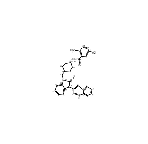 Cc1ncc(Cl)cc1C(=O)N[C@H]1CC[C@H](Cn2c(=O)n(-c3cnc4ccccc4c3)c3ccccc32)CC1